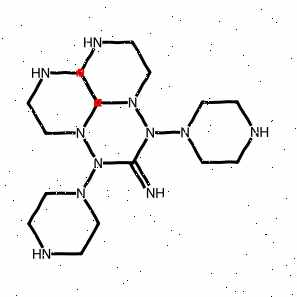 N=C(N(N1CCNCC1)N1CCNCC1)N(N1CCNCC1)N1CCNCC1